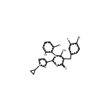 CCc1cccc(CC)c1-n1c(-c2ccn(C3CC3)n2)nc(=O)c(Cc2ccc(Br)c(F)c2)c1O